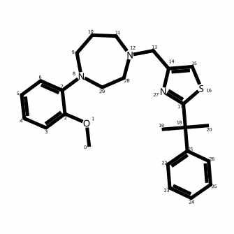 COc1ccccc1N1CCCN(Cc2csc(C(C)(C)c3ccccc3)n2)CC1